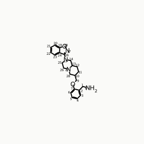 NCc1ccccc1OCC1CCC2CN(c3noc4ccccc34)CCN2C1